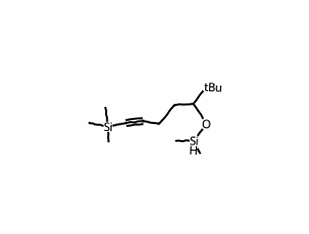 C[SiH](C)OC(CCC#C[Si](C)(C)C)C(C)(C)C